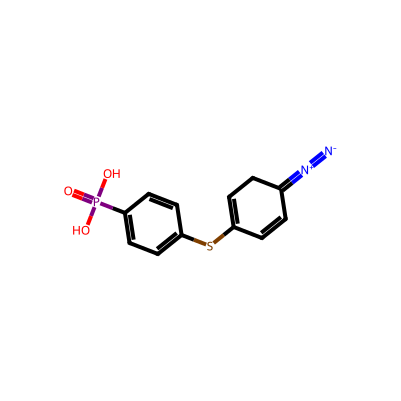 [N-]=[N+]=C1C=CC(Sc2ccc(P(=O)(O)O)cc2)=CC1